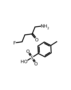 Cc1ccc(S(=O)(=O)O)cc1.NCC(=O)CCF